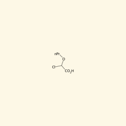 CCCOC(Cl)C(=O)O